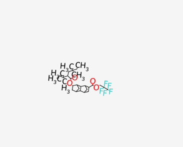 CCC(C)(C)CC(C(=O)OC1CC2CC1C1C3CC(CC3C(=O)OCC(F)(F)C(F)(F)F)C21)C(C)(C)C